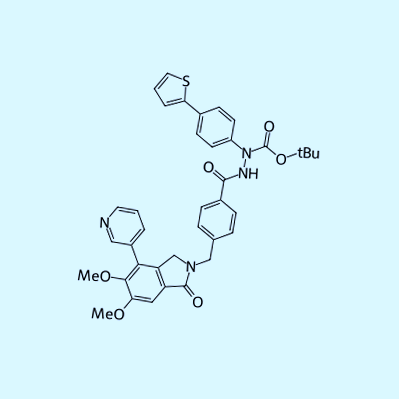 COc1cc2c(c(-c3cccnc3)c1OC)CN(Cc1ccc(C(=O)NN(C(=O)OC(C)(C)C)c3ccc(-c4cccs4)cc3)cc1)C2=O